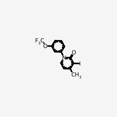 Cc1ccn(-c2cccc(OC(F)(F)F)c2)c(=O)c1I